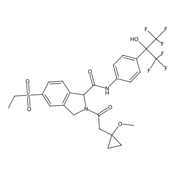 CCS(=O)(=O)c1ccc2c(c1)CN(C(=O)CC1(OC)CC1)C2C(=O)Nc1ccc(C(O)(C(F)(F)F)C(F)(F)F)cc1